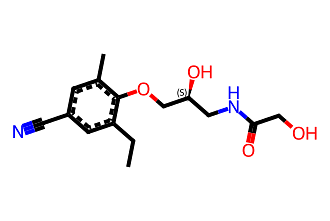 CCc1cc(C#N)cc(C)c1OC[C@@H](O)CNC(=O)CO